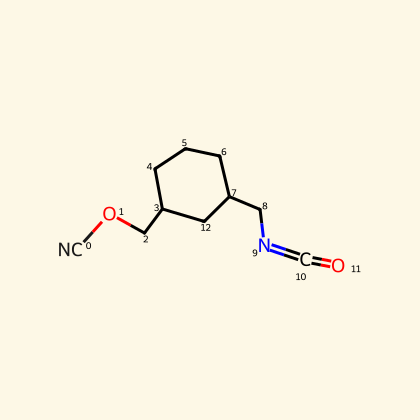 N#COCC1CCCC(CN=C=O)C1